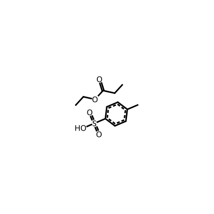 CCOC(=O)CC.Cc1ccc(S(=O)(=O)O)cc1